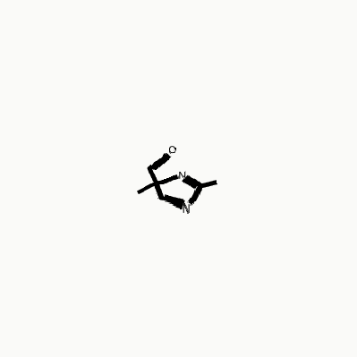 CC1=NC(C)(C=O)C=N1